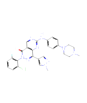 CN1CCN(c2ccc(Nc3ncc4c(=O)n(-c5c(F)cccc5Cl)nc(-c5cnn(C)c5)c4n3)cc2)CC1